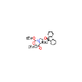 COC(=O)[C@@H]1C[C@@H](O[Si](c2ccccc2)(c2ccccc2)C(C)(C)C)CN1C(=O)OC(C)(C)C